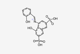 O=S(=O)(O)c1cc(O)c2c(/N=C/c3ccccc3O)cc(S(=O)(=O)O)cc2c1